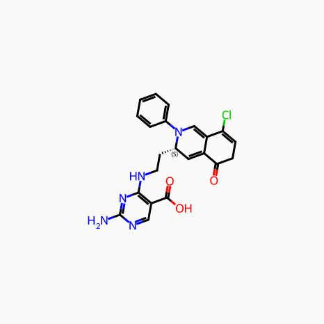 Nc1ncc(C(=O)O)c(NCC[C@H]2C=C3C(=O)CC=C(Cl)C3=CN2c2ccccc2)n1